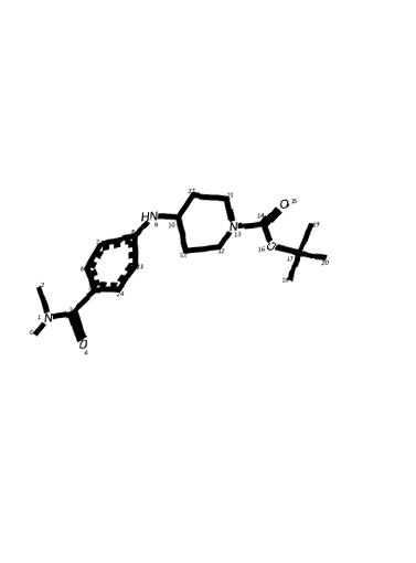 CN(C)C(=O)c1ccc(NC2CCN(C(=O)OC(C)(C)C)CC2)cc1